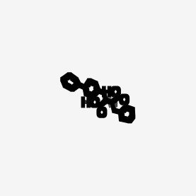 O=C(O)[C@@H](Cc1ccccc1)[C@H](Cc1ccc(-c2ccccc2)cc1)C(=O)O